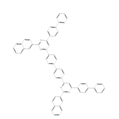 c1ccc(-c2ccc(-c3cc(-c4ccc(-c5ccc(-c6cc(-c7ccc(-c8ccccc8)cc7)nc(-c7ccc8ccccc8c7)n6)cc5)cc4)nc(-c4ccc5ccccc5c4)n3)cc2)cc1